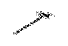 CC(C)CC(C)CC(CC(C)C)OCCOCCOCCOCCOCCOCCOCCOCCO